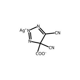 N#CC1=NN=NC1(C#N)C(=O)[O-].[Ag+]